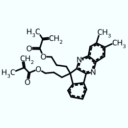 C=C(C)C(=O)OCCCC1(CCCOC(=O)C(=C)C)c2ccccc2-c2nc3cc(C)c(C)cc3nc21